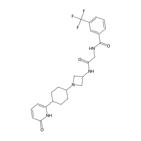 O=C(CNC(=O)c1cccc(C(F)(F)F)c1)NC1CN(C2CCC(c3cccc(=O)[nH]3)CC2)C1